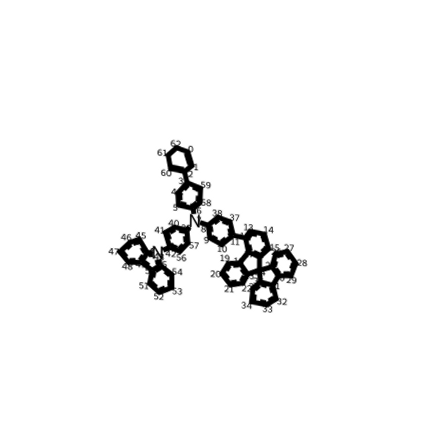 C1=CC(c2ccc(N(c3ccc(-c4cccc5c4-c4ccccc4C54c5ccccc5-c5ccccc54)cc3)c3ccc(-n4c5ccccc5c5ccccc54)cc3)cc2)=CCC1